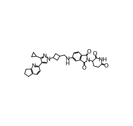 O=C1CCC(N2C(=O)c3ccc(NCC4CC(n5cc(-c6ccc7c(n6)CCC7)c(C6CC6)n5)C4)cc3C2=O)C(=O)N1